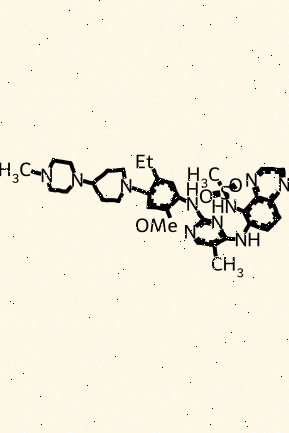 CCc1cc(Nc2ncc(C)c(Nc3ccc4nccnc4c3NS(C)(=O)=O)n2)c(OC)cc1N1CCC(N2CCN(C)CC2)CC1